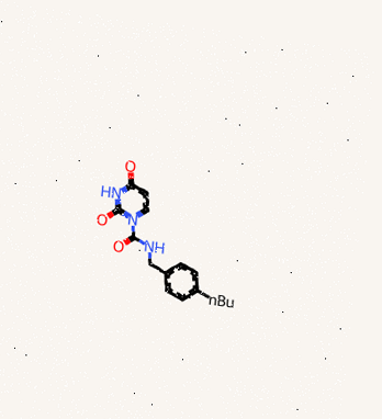 CCCCc1ccc(CNC(=O)n2ccc(=O)[nH]c2=O)cc1